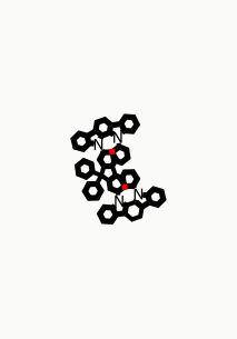 c1ccc(-n2c3c(c4ccccc42)CCc2c-3n(-c3ccc4c(c3)C(c3ccccc3)(c3ccccc3)c3cc(-n5c6ccccc6c6ccc7c8ccccc8n(-c8ccccc8)c7c65)ccc3-4)c3ccccc23)cc1